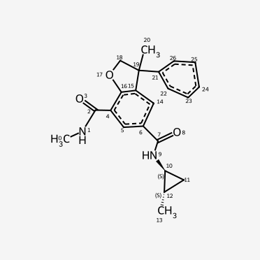 CNC(=O)c1cc(C(=O)N[C@H]2C[C@@H]2C)cc2c1OCC2(C)c1ccccc1